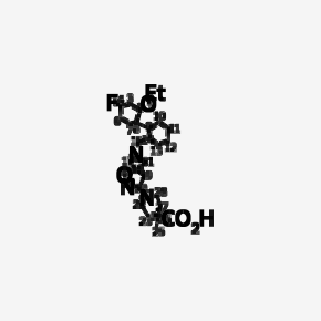 CCOc1cc(F)ccc1-c1ccccc1CN1CC2(CC(N3CCC(C)(C(=O)O)CC3)=NO2)C1